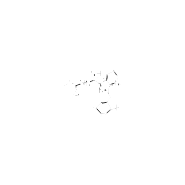 CSC(=N/N=C(\N)c1nn(Cc2ccccc2F)c2ncccc12)SC